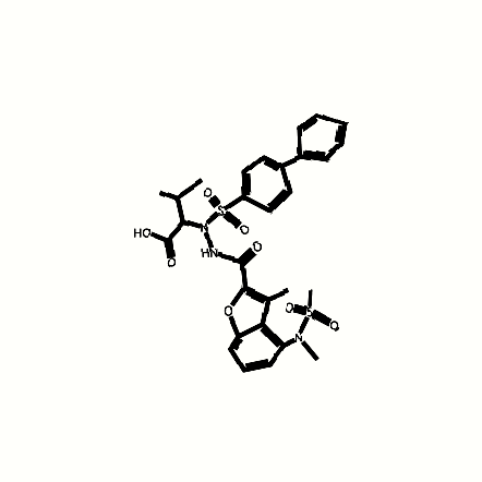 Cc1c(C(=O)NN(C(C(=O)O)C(C)C)S(=O)(=O)c2ccc(-c3ccccc3)cc2)oc2cccc(N(C)S(C)(=O)=O)c12